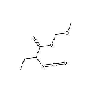 CCC(N=C=O)C(=O)OCOC